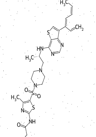 C=C/C(=C\C=C/C)c1csc2c(N[C@@H](C)CN3CCN(S(=O)(=O)c4sc(NC(=O)COC)nc4C)CC3)ncnc12